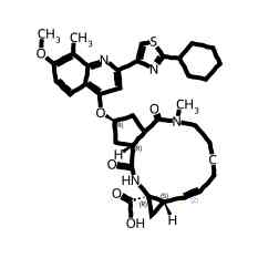 COc1ccc2c(O[C@H]3CC4C(=O)N(C)CCCC/C=C\[C@@H]5C[C@@]5(C(=O)O)NC(=O)[C@@H]4C3)cc(-c3csc(C4CCCCC4)n3)nc2c1C